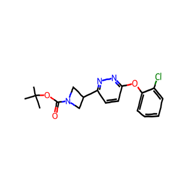 CC(C)(C)OC(=O)N1CC(c2ccc(Oc3ccccc3Cl)nn2)C1